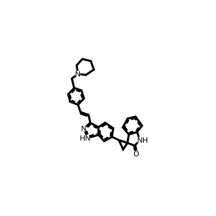 O=C1Nc2ccccc2C12CC2c1ccc2c(/C=C/c3ccc(CN4CCCCC4)cc3)n[nH]c2c1